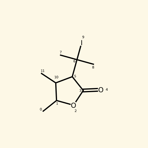 CC1OC(=O)C(C(C)(C)I)C1C